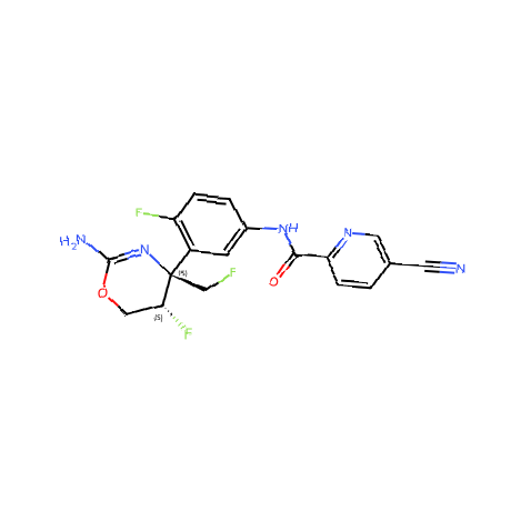 N#Cc1ccc(C(=O)Nc2ccc(F)c([C@@]3(CF)N=C(N)OC[C@H]3F)c2)nc1